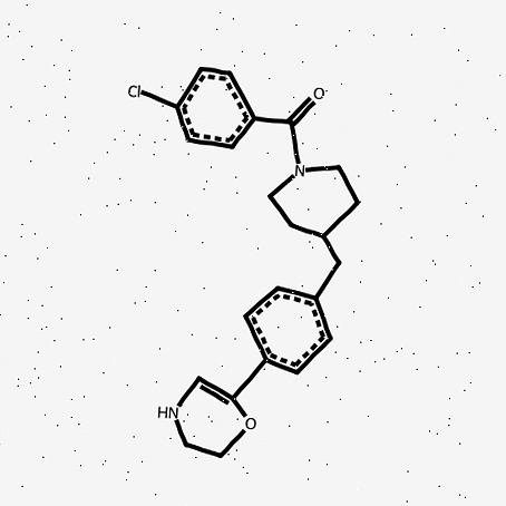 O=C(c1ccc(Cl)cc1)N1CCC(Cc2ccc(C3=CNCCO3)cc2)CC1